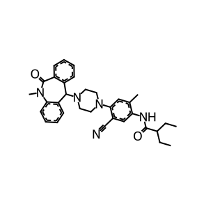 CCC(CC)C(=O)Nc1cc(C#N)c(N2CCN(C3c4ccccc4C(=O)N(C)c4ccccc43)CC2)cc1C